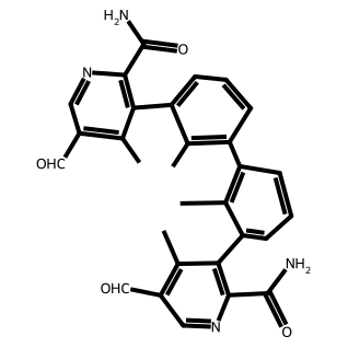 Cc1c(-c2cccc(-c3c(C(N)=O)ncc(C=O)c3C)c2C)cccc1-c1c(C(N)=O)ncc(C=O)c1C